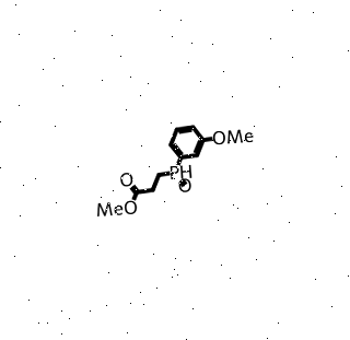 COC(=O)CC[PH](=O)c1cccc(OC)c1